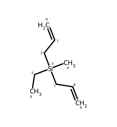 C=CC[Si](C)(CC)CC=C